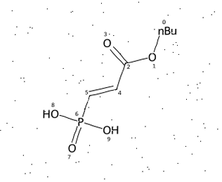 CCCCOC(=O)C=CP(=O)(O)O